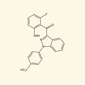 COc1cccc(F)c1C(=O)c1nn(-c2ccc(C(=O)O)cc2)c2ccccc12